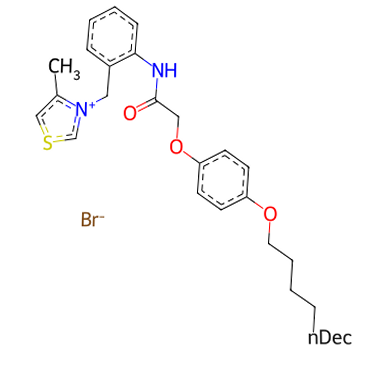 CCCCCCCCCCCCCCOc1ccc(OCC(=O)Nc2ccccc2C[n+]2cscc2C)cc1.[Br-]